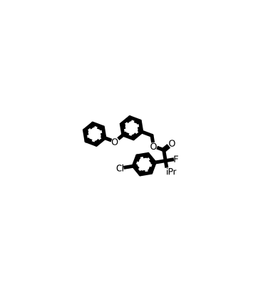 CC(C)C(F)(C(=O)OCc1cccc(Oc2ccccc2)c1)c1ccc(Cl)cc1